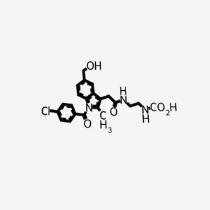 Cc1c(CC(=O)NCCNC(=O)O)c2cc(CO)ccc2n1C(=O)c1ccc(Cl)cc1